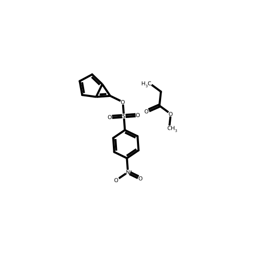 CCC(=O)OC.O=[N+]([O-])c1ccc(S(=O)(=O)Oc2c3cccc2-3)cc1